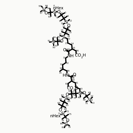 CCCCCC[Si](C)(OC(C)(C)C(C)(C)[Si](C)(C)OC(C)(C)C(C)(C)[Si](C)(CCCC(CC(=O)O)C(=O)NCCCC(C)CNC(=O)C(CCC[Si](C)(OC(C)(C)[Si](C)(C)C)C(C)(C)C(C)(C)O[Si](C)(C)C(C)(C)C(C)(C)O[Si](C)(CCCCCC)C(C)(C)O[Si](C)(C)C)CC(=O)O)OC(C)(C)[Si](C)(C)C)C(C)(C)O[Si](C)(C)C